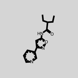 CCC(CC)C(=O)Nc1cc(-c2cccnc2)no1